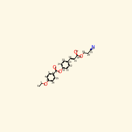 CCOc1ccc(C(=O)Oc2ccc(/C=C/C(=O)OCCC#N)cc2)cc1